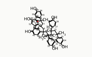 CC(C)(CC(C)(CC(C)(CC(C)(CC(C)(CC(C)(C)c1ccc(O)cc1)c1ccc(O)cc1)c1ccc(O)cc1)c1ccc(O)cc1)c1ccc(O)cc1)c1ccc(O)cc1